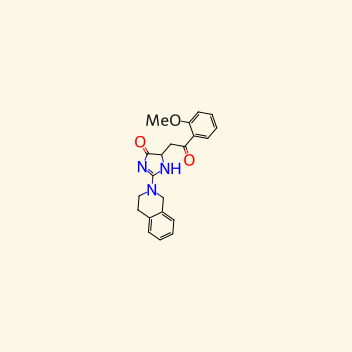 COc1ccccc1C(=O)CC1NC(N2CCc3ccccc3C2)=NC1=O